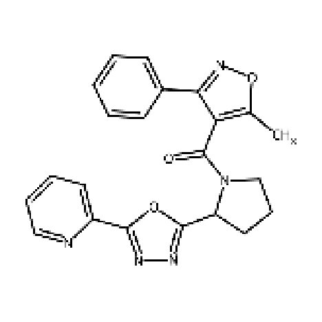 Cc1onc(-c2ccccc2)c1C(=O)N1CCCC1c1nnc(-c2ccccn2)o1